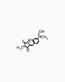 CN1C(=O)C(=Cc2ccc(N(C)CO)cc2)N(C)C1=S